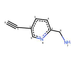 C#Cc1ccc(CN)nc1